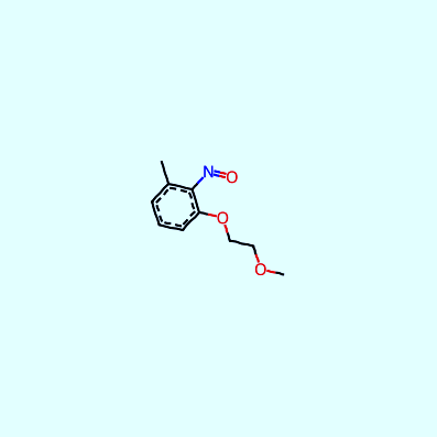 COCCOc1cccc(C)c1N=O